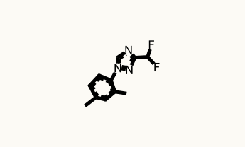 Cc1ccc(-n2cnc(C(F)F)n2)c(C)c1